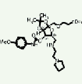 CCCCCCCCCCCCOC[C@@]12O[C@@H](CNCCN3CCCC3)[C@@H](OC(=O)Nc3ccc(OC)cc3)[C@@H]1OC(C)(C)O2